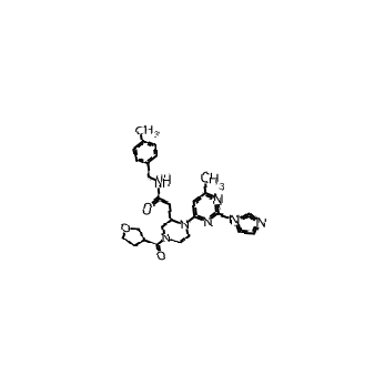 Cc1ccc(CNC(=O)CC2CN(C(=O)C3CCOC3)CCN2c2cc(C)nc(-n3ccnc3)n2)cc1